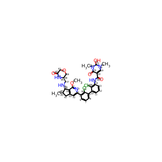 COc1nc(-c2cccc(-c3cccc(NC(=O)C4=CN(C)C(O)N(C)C4=O)c3Cl)c2Cl)cc2c1[C@@H](NC[C@@H]1COCC(=O)N1)[C@H](C)C2